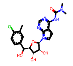 Cc1cc(C(O)[C@H]2O[C@@H](n3ccc4c(NC(=O)N(C)C)ncnc43)[C@H](O)[C@@H]2O)ccc1Cl